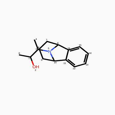 CC(O)C(C)N1C2CCCC1c1ccccc12